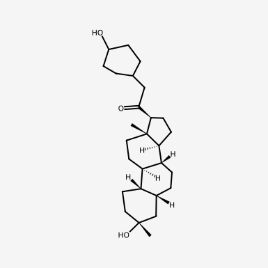 C[C@@]1(O)CC[C@H]2[C@H](CC[C@@H]3[C@@H]2CC[C@]2(C)[C@@H](C(=O)CC4CCC(O)CC4)CC[C@@H]32)C1